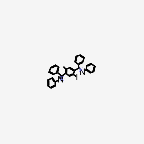 Cc1cc(/C(=N/c2ccccc2)c2ccccc2)c(I)cc1/C(=N/c1ccccc1)c1ccccc1